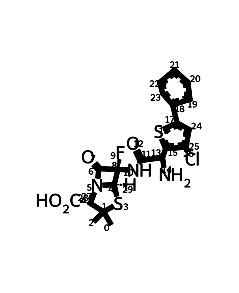 CC1(C)S[C@H]2N(C(=O)[C@]2(F)NC(=O)C(N)c2sc(-c3ccccc3)cc2Cl)[C@H]1C(=O)O